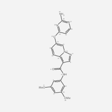 COc1cc(NC(=O)c2cnn3cc(Oc4ccnc(N)n4)ccc23)cc(OC)c1